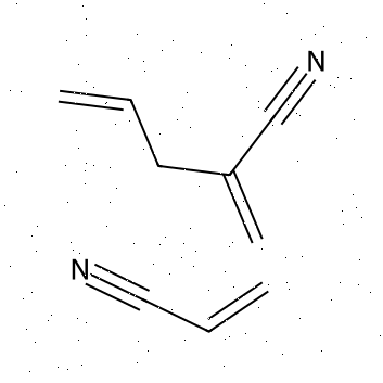 C=CC#N.C=CCC(=C)C#N